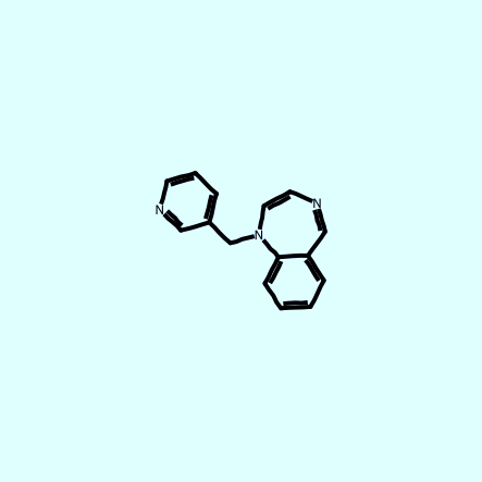 C1=CN(Cc2cccnc2)c2ccccc2C=N1